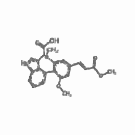 COC(=O)C=Cc1cc(OC)c(-c2cccc3[nH]cc(CC(=O)O)c23)c(OC)c1